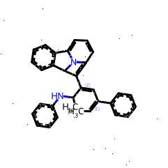 C/C=C(\C=C(\C1=C2C=CC=C3c4ccccc4C1N32)C(C)Nc1ccccc1)c1ccccc1